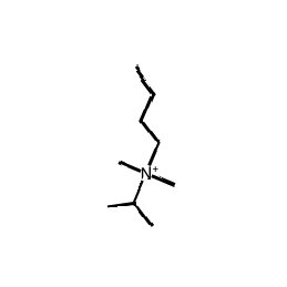 CCCC[N+](C)(C)C(C)C